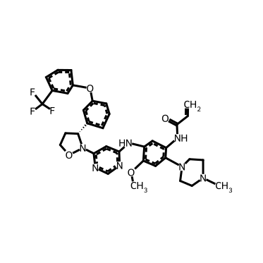 C=CC(=O)Nc1cc(Nc2cc(N3OCC[C@@H]3c3cccc(Oc4cccc(C(F)(F)F)c4)c3)ncn2)c(OC)cc1N1CCN(C)CC1